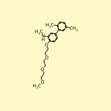 CNc1cc(-c2cc(C)ccc2C)ccc1OCCOCCOCCOC